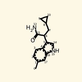 Cc1ccc2c(C(CC3CC3)C(N)=O)c[nH]c2c1